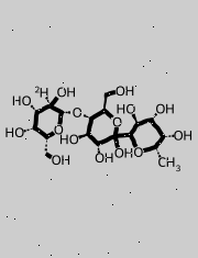 [2H][C@]1(O)[C@H](O[C@H]2[C@H](O)[C@@H](O)C(O)(C3O[C@@H](C)[C@@H](O)[C@@H](O)[C@@H]3O)O[C@@H]2CO)O[C@H](CO)[C@H](O)[C@@H]1O